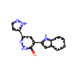 O=c1[nH]nc(-c2ccn[nH]2)cc1-c1cc2ccccc2[nH]1